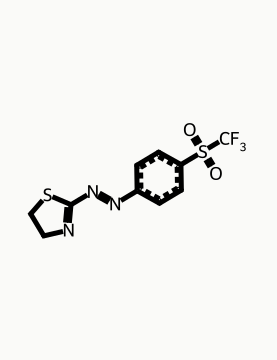 O=S(=O)(c1ccc(N=NC2=NCCS2)cc1)C(F)(F)F